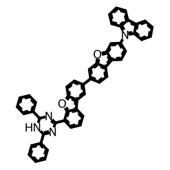 c1ccc(C2=NC(c3cccc4c3oc3ccc(-c5ccc6c(c5)oc5cc(-n7c8ccccc8c8ccccc87)ccc56)cc34)=NC(c3ccccc3)N2)cc1